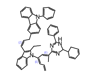 C=C/C=C(\C=C(/C)C1=NC(C2C=CC=CC2)NC(c2ccccc2)=N1)n1c(CC)c(/C=C\Cc2ccc3c(c2)c2ccccc2n3-c2ccccc2)c2ccccc21